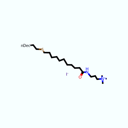 CCCCCCCCCCCCSCCCCCCCCCCC(=O)NCCC[N+](C)(C)C.[I-]